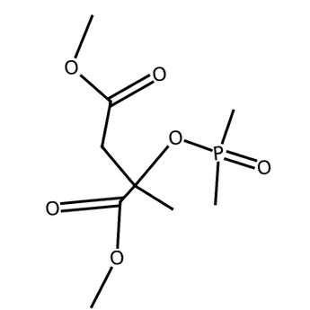 COC(=O)CC(C)(OP(C)(C)=O)C(=O)OC